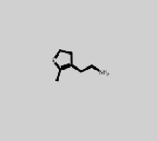 CC1=C(CCN)CCS1